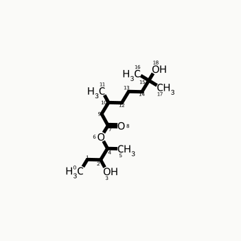 CCC(O)C(C)OC(=O)CC(C)CCCC(C)(C)O